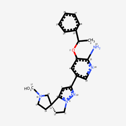 CC(Oc1cc(-c2cc3n(n2)CC[C@@]32CCN(C(=O)O)C2)cnc1N)c1ccccc1